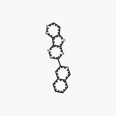 c1ccc2cc(-c3nnc4c(n3)oc3ccnnc34)ncc2c1